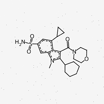 Cn1c(C2CCCCC2)c(C(=O)N2CCOCC2)c2c(C3CC3)cc(S(N)(=O)=O)cc21